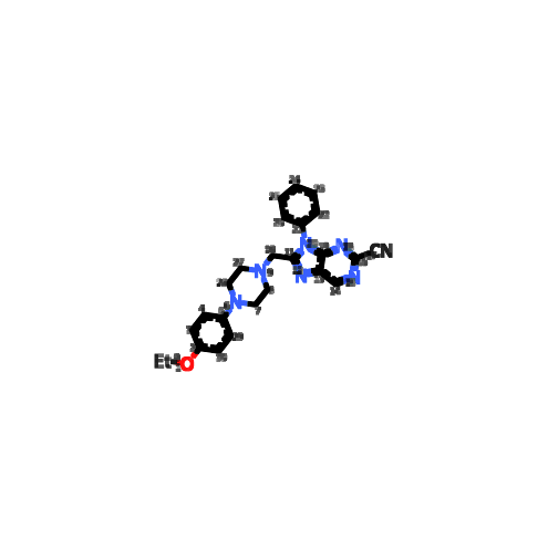 CCOc1ccc(N2CCN(Cc3nc4cnc(C#N)nc4n3-c3ccccc3)CC2)cc1